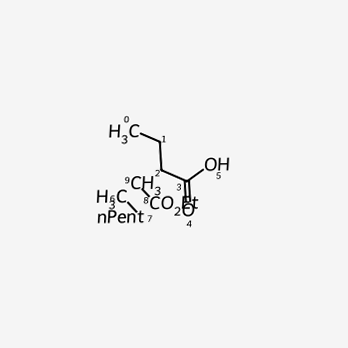 CCCC(=O)O.CCCCCC.CCOC(C)=O